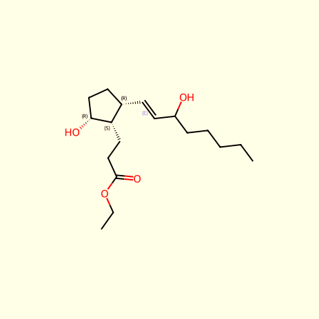 CCCCCC(O)/C=C/[C@H]1CC[C@@H](O)[C@H]1CCC(=O)OCC